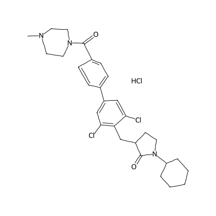 CN1CCN(C(=O)c2ccc(-c3cc(Cl)c(CC4CCN(C5CCCCC5)C4=O)c(Cl)c3)cc2)CC1.Cl